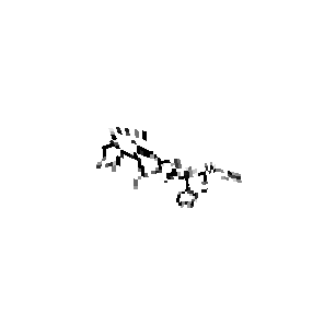 CC(C)(C)OC(=O)N[C@H](c1nc2c(F)c(C3COCC3C(=O)O)ccc2[nH]1)C1CCCC1